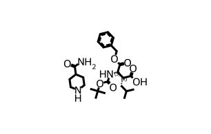 CC(C)C[C@@H](C(=O)O)[C@H](NC(=O)OC(C)(C)C)C(=O)OCc1ccccc1.NC(=O)C1CCNCC1